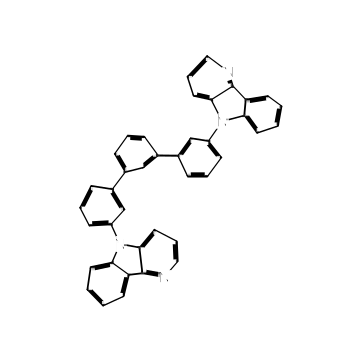 c1cc(-c2cccc(-n3c4ccccc4c4ncccc43)c2)cc(-c2cccc(-n3c4ccccc4c4ncccc43)c2)c1